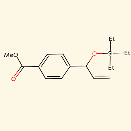 C=CC(O[Si](CC)(CC)CC)c1ccc(C(=O)OC)cc1